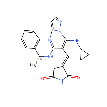 C[C@@H](Nc1nc2ccnn2c(NC2CC2)c1C=C1CC(=O)NC1=O)c1ccccc1